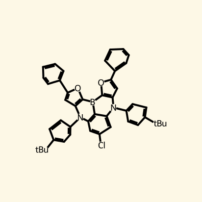 CC(C)(C)c1ccc(N2c3cc(-c4ccccc4)oc3B3c4oc(-c5ccccc5)cc4N(c4ccc(C(C)(C)C)cc4)c4cc(Cl)cc2c43)cc1